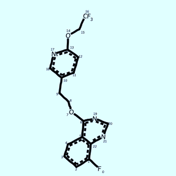 Fc1cccc2c(OCCc3ccc(OCC(F)(F)F)nc3)ncnc12